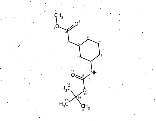 COC(=O)CC1CCCC(NC(=O)OC(C)(C)C)C1